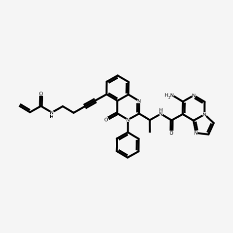 C=CC(=O)NCCC#Cc1cccc2nc(C(C)NC(=O)c3c(N)ncn4ccnc34)n(-c3ccccc3)c(=O)c12